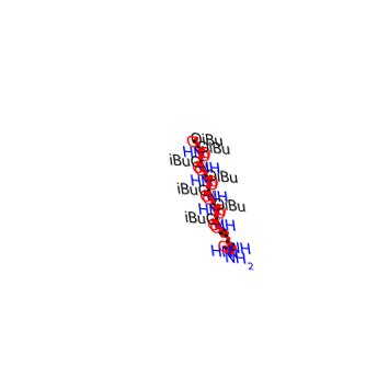 CC(C)COC(=O)CC[C@H](NC(=O)CC[C@H](NC(=O)CC[C@H](NC(=O)CC[C@H](NC(=O)CC[C@H](NC(=O)CC[C@H](NC(=O)c1ccc(CCc2c[nH]c3nc(N)[nH]c(=O)c23)cc1)C(=O)OCC(C)C)C(=O)OCC(C)C)C(=O)OCC(C)C)C(=O)OCC(C)C)C(=O)OCC(C)C)C(=O)OCC(C)C